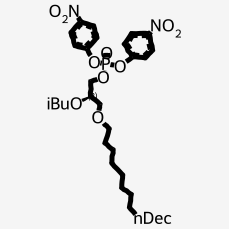 CCCCCCCCCCCCCCCCCCOC[C@H](COP(=O)(Oc1ccc([N+](=O)[O-])cc1)Oc1ccc([N+](=O)[O-])cc1)OCC(C)C